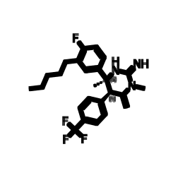 C=C1[C@@H](c2ccc(C(F)(F)F)cc2)[C@@](C)(c2ccc(F)c(CCCCC)c2)NC(=N)N1C